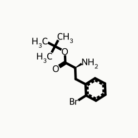 CC(C)(C)OC(=O)[C@@H](N)Cc1ccccc1Br